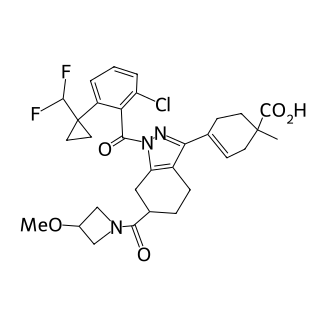 COC1CN(C(=O)C2CCc3c(C4=CCC(C)(C(=O)O)CC4)nn(C(=O)c4c(Cl)cccc4C4(C(F)F)CC4)c3C2)C1